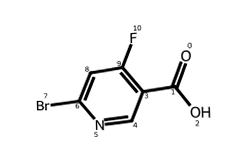 O=C(O)c1cnc(Br)cc1F